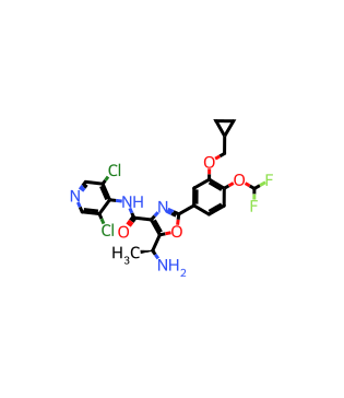 C[C@H](N)c1oc(-c2ccc(OC(F)F)c(OCC3CC3)c2)nc1C(=O)Nc1c(Cl)cncc1Cl